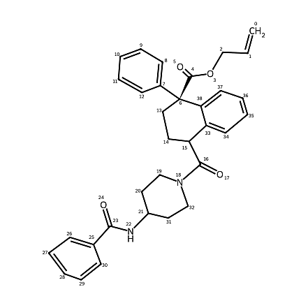 C=CCOC(=O)[C@]1(c2ccccc2)CCC(C(=O)N2CCC(NC(=O)c3ccccc3)CC2)c2ccccc21